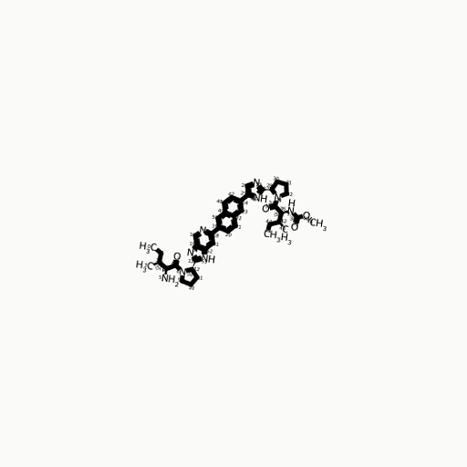 CC[C@H](C)[C@H](N)C(=O)N1CCC[C@H]1c1nc2cnc(-c3ccc4cc(-c5cnc([C@@H]6CCCN6C(=O)[C@@H](NC(=O)OC)[C@@H](C)CC)[nH]5)ccc4c3)cc2[nH]1